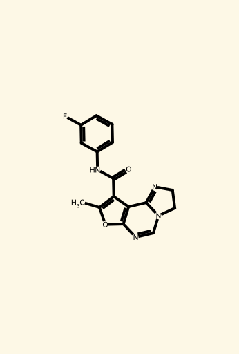 Cc1oc2c(c1C(=O)Nc1cccc(F)c1)C1=NCCN1C=N2